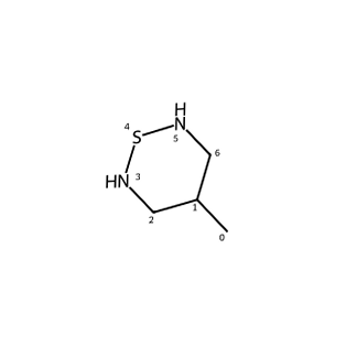 CC1CNSNC1